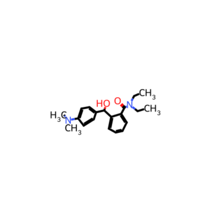 CCN(CC)C(=O)c1ccccc1C(O)c1ccc(N(C)C)cc1